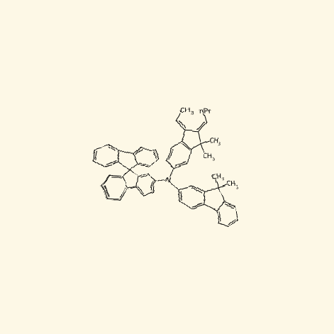 C/C=C1\C(=C/CCC)C(C)(C)c2cc(N(c3ccc4c(c3)C(C)(C)c3ccccc3-4)c3ccc4c(c3)C3(c5ccccc5-c5ccccc53)c3ccccc3-4)ccc21